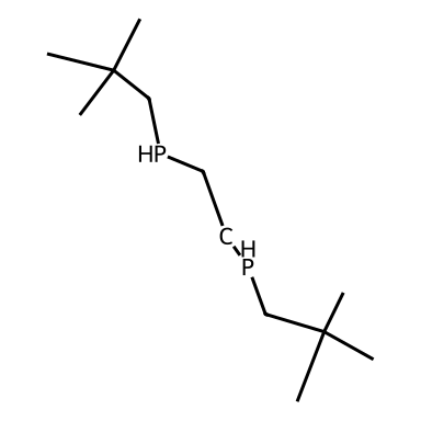 CC(C)(C)CPCCPCC(C)(C)C